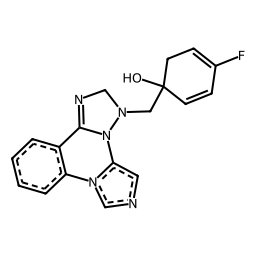 OC1(CN2CN=C3c4ccccc4-n4cncc4N32)C=CC(F)=CC1